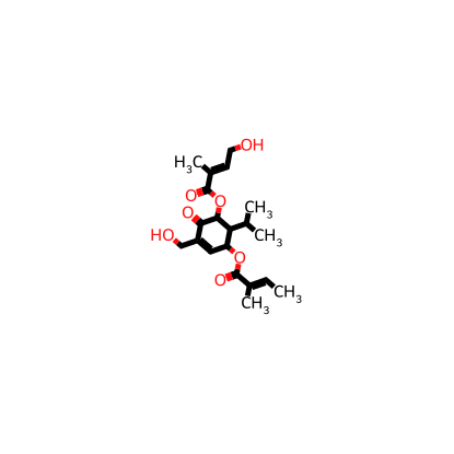 CC=C(C)C(=O)OC1C=C(CO)C(=O)C(OC(=O)C(C)=CCO)C1C(C)C